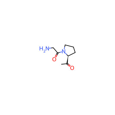 CC(=O)[C@@H]1CCCN1C(=O)CN